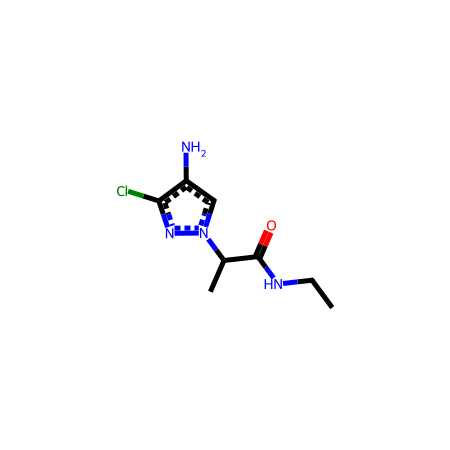 CCNC(=O)C(C)n1cc(N)c(Cl)n1